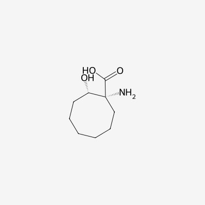 N[C@]1(C(=O)O)CCCCCC[C@@H]1O